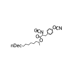 CCCCCCCCCCCCCCCCC(C)OC(=O)C(Cc1ccc(OC#N)cc1)N=C=O